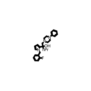 CCCC(O)(CN1CCN(c2ccccc2)CC1)c1cccn1Cc1ccccc1F